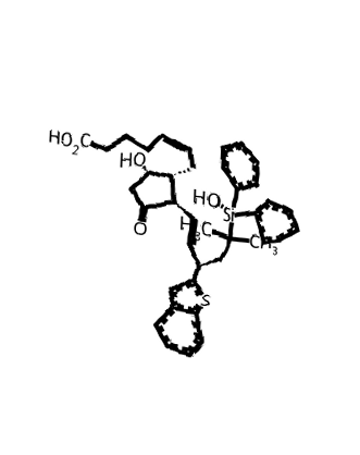 CC(C)(C[C@H](/C=C/[C@H]1C(=O)C[C@H](O)[C@@H]1C/C=C\CCCC(=O)O)c1cc2ccccc2s1)[Si](O)(c1ccccc1)c1ccccc1